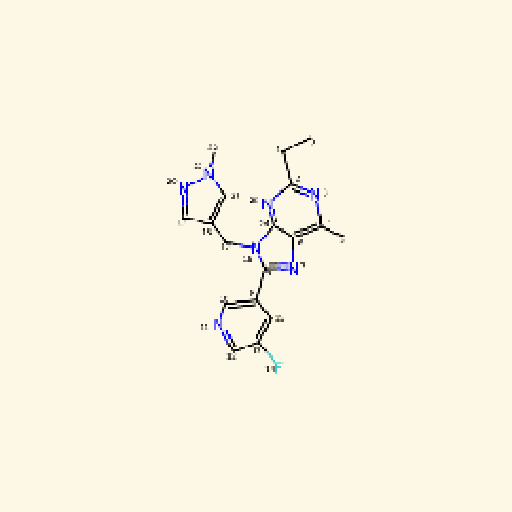 CCc1nc(C)c2nc(-c3cncc(F)c3)n(Cc3cnn(C)c3)c2n1